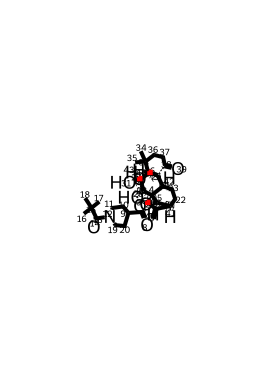 C=C1C(=O)[C@]23[C@H](OC(=O)C4CCN(C(=O)C(C)(C)C)CC4)[C@H]1CC[C@H]2[C@@]12CO[C@@]3(O)[C@@H](O)[C@@H]1C(C)(C)CCC2=O